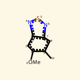 COc1cc2nsnc2cc1C